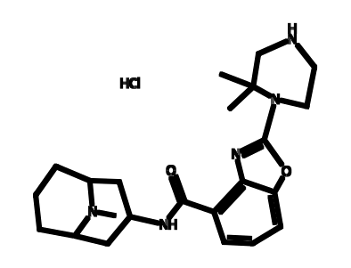 CN1C2CCCC1CC(NC(=O)c1cccc3oc(N4CCNCC4(C)C)nc13)C2.Cl